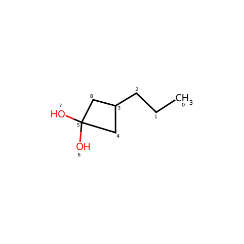 CCCC1CC(O)(O)C1